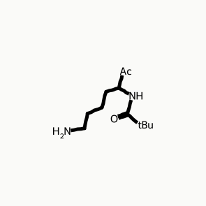 CC(=O)C(CCCCN)NC(=O)C(C)(C)C